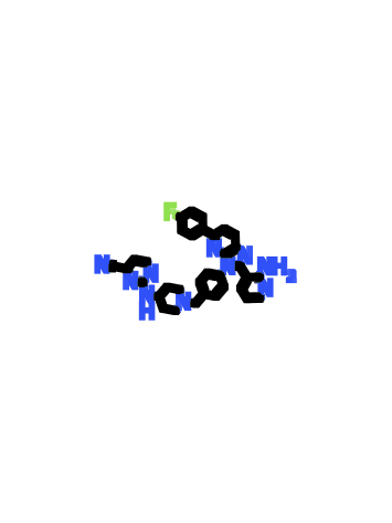 N#Cc1ccnc(NC2CCN(Cc3ccc(-n4c(-c5cccnc5N)nc5ccc(-c6ccc(F)cc6)nc54)cc3)CC2)n1